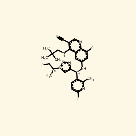 Cc1nc(F)ccc1[C@H](Nc1cc(Cl)c2ncc(C#N)c(NCC(C)(C)C)c2c1)c1cn([C@@H](C)CF)nn1